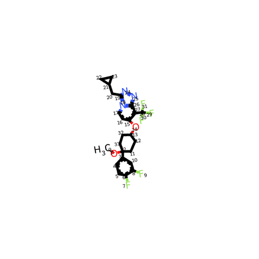 COC1(c2ccc(F)c(F)c2)CCC(Oc2ccn3c(CC4CC4)nnc3c2C(F)(F)F)CC1